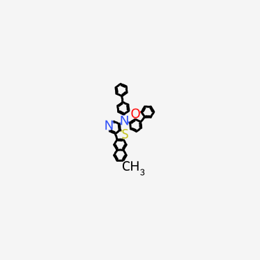 Cc1ccc2cc3c(cc2c1)sc1c(N(c2ccc(-c4ccccc4)cc2)c2cccc4c2oc2ccccc24)cncc13